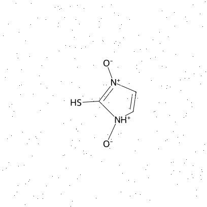 [O-][N+]1=C(S)[NH+]([O-])C=C1